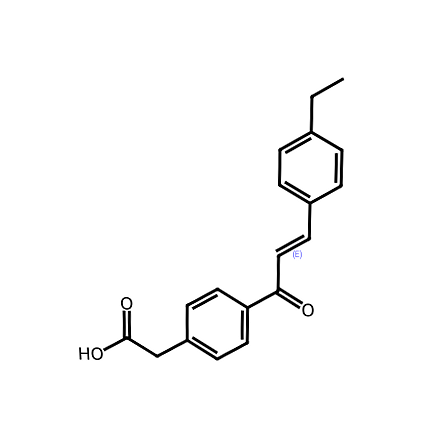 CCc1ccc(/C=C/C(=O)c2ccc(CC(=O)O)cc2)cc1